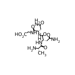 C[C@H](N)C(=O)N[C@@H](CC(N)=O)C(=O)N[C@@H](CC(N)=O)C(=O)NCC(=O)O